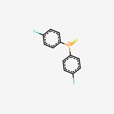 Fc1ccc([PH](=S)c2ccc(F)cc2)cc1